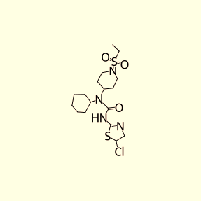 CCS(=O)(=O)N1CCC(N(C(=O)NC2=NCC(Cl)S2)C2CCCCC2)CC1